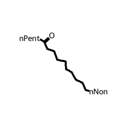 CCCCCCCCCCCCCCCCCCC(=O)CCCCC